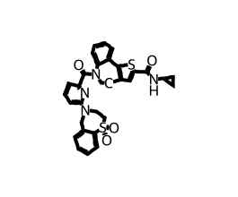 O=C(NC1CC1)c1cc2c(s1)-c1ccccc1N(C(=O)c1cccc(N3CCS(=O)(=O)c4ccccc4C3)n1)CC2